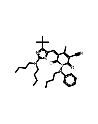 CCCCN(CCCC)c1nc(C(C)(C)C)c(/C=C2\C(=O)N(N(CCCC)c3ccccc3)C(=O)C(C#N)=C2C)s1